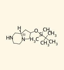 CC(C)(C)[Si](C)(C)OC1C[C@H]2CNCCN2C1